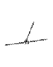 CCCCCCCCCCCCCCCCCCSP(SCCCCCCCCCCCCCCCCCC)SCCCCCCCCCCCCCCCCCC